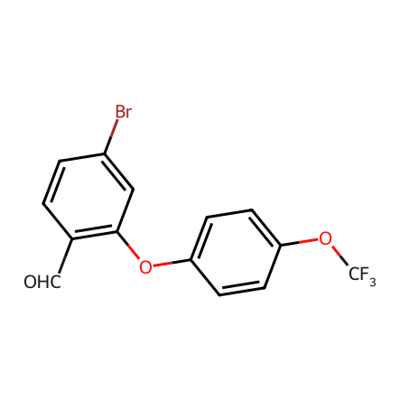 O=Cc1ccc(Br)cc1Oc1ccc(OC(F)(F)F)cc1